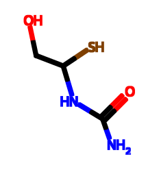 NC(=O)NC(S)CO